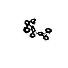 c1ccc(-c2cccc(-c3ccccc3)c2-c2ccc3c(c2)c2ccccc2n3-c2ccc3c(c2)c2ccccc2n3-c2ccccc2)cc1